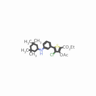 CCOC(=O)c1sc(-c2cccc(NC3CC(C)(C)CC(C)(C)C3)c2)c(Cl)c1OC(C)=O